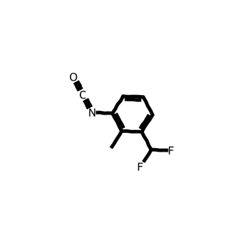 Cc1c(N=C=O)cccc1C(F)F